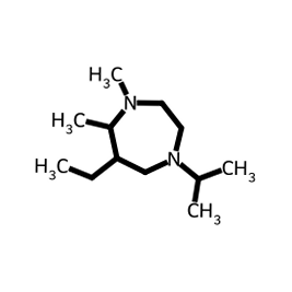 CCC1CN(C(C)C)CCN(C)C1C